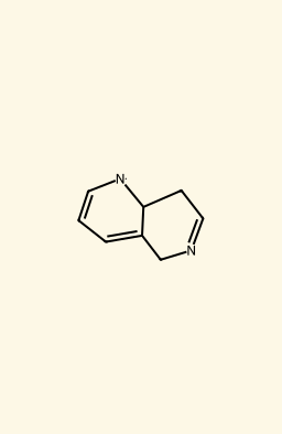 C1=C[N]C2CC=NCC2=C1